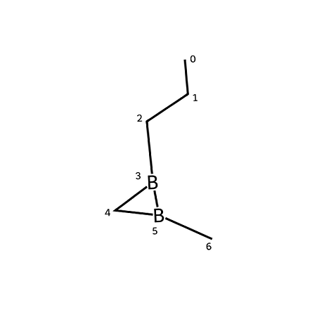 CCCB1CB1C